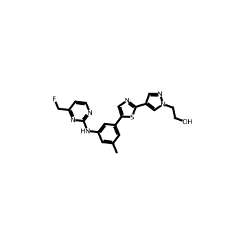 Cc1cc(Nc2nccc(CF)n2)cc(-c2cnc(-c3cnn(CCO)c3)s2)c1